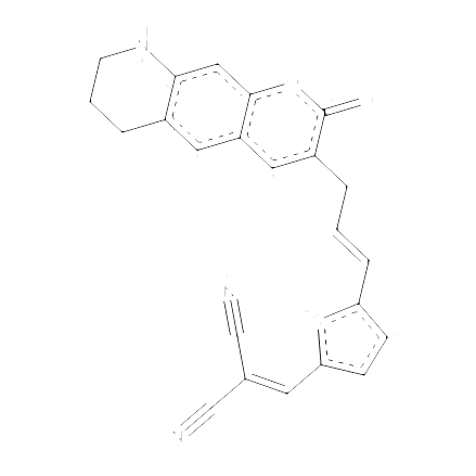 N#CC(C#N)=Cc1ccc(/C=C/Cc2cc3cc4c(cc3oc2=O)NCCC4)s1